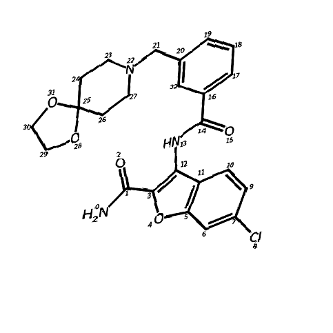 NC(=O)c1oc2cc(Cl)ccc2c1NC(=O)c1cccc(CN2CCC3(CC2)OCCO3)c1